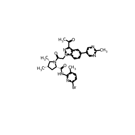 CC(=O)c1nn(CC(=O)N2[C@H](C(=O)Nc3nc(Br)ccc3C)C[C@H](C)[C@@H]2C)c2ccc(-c3cnc(C)nc3)cc12